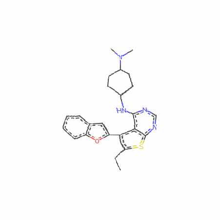 CCc1sc2ncnc(NC3CCC(N(C)C)CC3)c2c1-c1cc2ccccc2o1